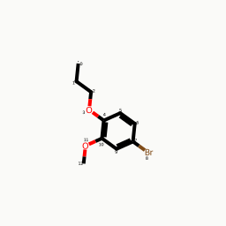 [CH2]CCOc1ccc(Br)cc1OC